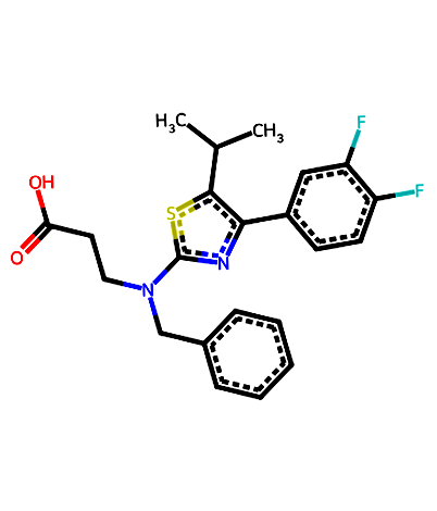 CC(C)c1sc(N(CCC(=O)O)Cc2ccccc2)nc1-c1ccc(F)c(F)c1